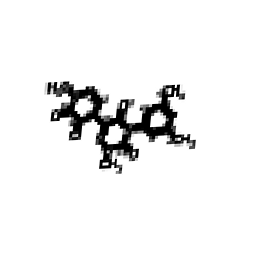 Cc1cc(C)cc(-n2c(=O)c(C3C=NN(C)C(=O)C3=O)nn(C)c2=O)c1